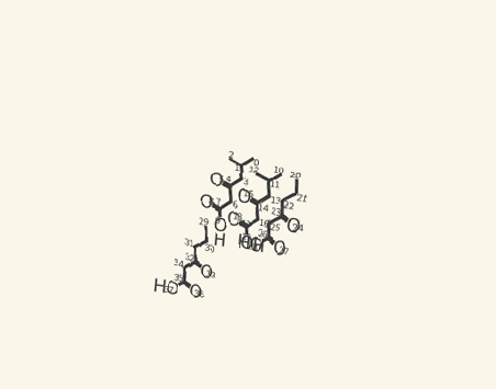 CC(C)CC(=O)CC(=O)O.CC(C)CC(=O)CC(=O)O.CCCC(=O)CC(=O)O.CCCC(=O)CC(=O)O